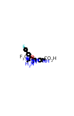 Cc1ccn(C2(C(F)(F)F)CC(c3ccc(F)cc3)=CC=C2[C@@H](Oc2cc(N3CCC4(CC3)CN[C@H](C(=O)O)C4)nc(N)n2)C(F)(F)F)n1